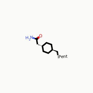 CCCC(C)C[C@H]1CC[C@H](CC(N)=O)CC1